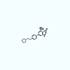 Fc1cc(-c2ccc(CCC3CCCC3)cc2)cc(F)c1C(F)(F)Br